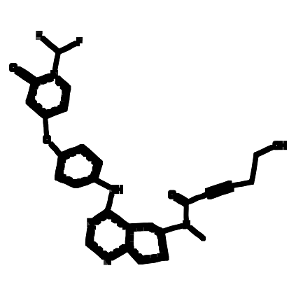 CN(C(=O)C#CCCO)c1ccc2ncnc(Nc3ccc(Oc4ccn(C(F)F)c(=O)c4)cc3)c2c1